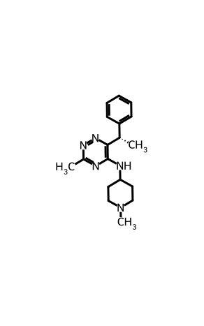 Cc1nnc([C@@H](C)c2ccccc2)c(NC2CCN(C)CC2)n1